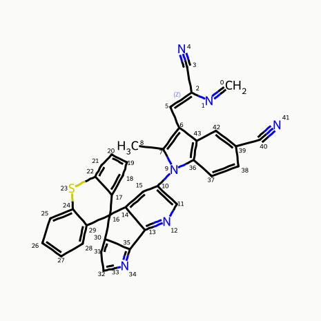 C=N/C(C#N)=C\c1c(C)n(-c2cnc3c(c2)C2(c4ccccc4Sc4ccccc42)c2cccnc2-3)c2ccc(C#N)cc12